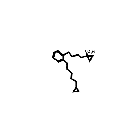 O=C(O)C1(CCCCc2ccccc2CCCCCC2CC2)CC1